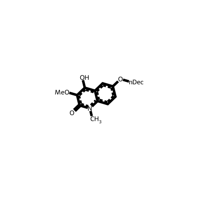 CCCCCCCCCCOc1ccc2c(c1)c(O)c(OC)c(=O)n2C